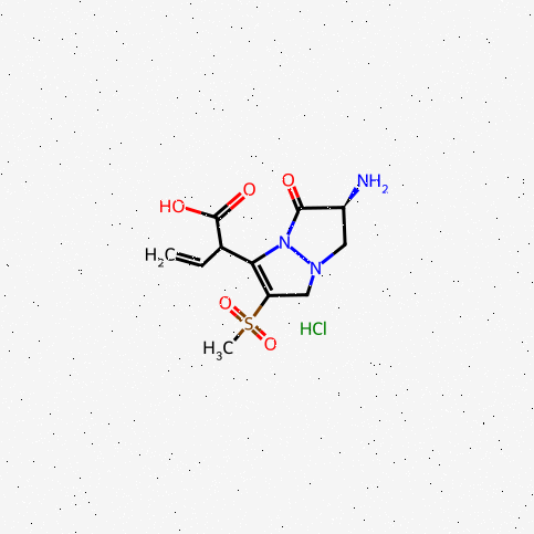 C=CC(C(=O)O)C1=C(S(C)(=O)=O)CN2C[C@H](N)C(=O)N12.Cl